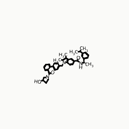 Cc1c(C)n(Cc2ccc(-c3ccccc3C(=O)N3CCC(O)C3)cc2)c2ccc(C(=O)N[C@@H](C)c3cccc(C(C)C)c3)cc12